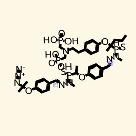 CCCC(C)(Oc1ccc(CCN(CP(=O)(O)O)CP(=O)(O)O)cc1)[PH](=S)N(C)/N=C/c1ccc(OC(C)[PH](=S)N(C)/N=C/c2ccc(OC(C)(C)N=[N+]=[N-])cc2)cc1